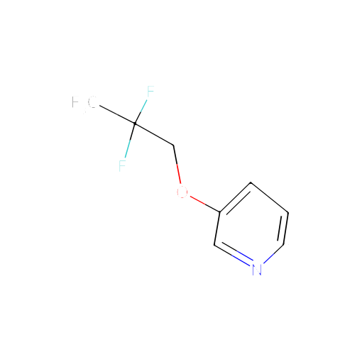 FC(F)(F)C(F)(F)COc1cc[c]nc1